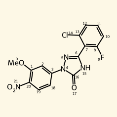 COc1cc(-n2nc(-c3c(F)cccc3Cl)[nH]c2=O)ccc1[N+](=O)[O-]